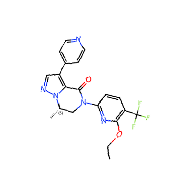 CCOc1nc(N2C[C@H](C)n3ncc(-c4ccncc4)c3C2=O)ccc1C(F)(F)F